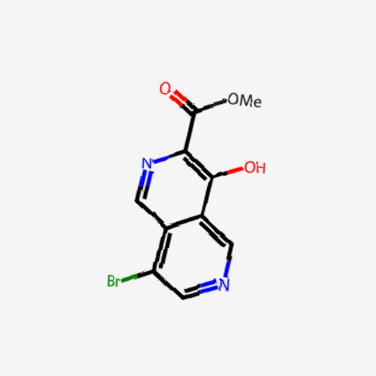 COC(=O)c1ncc2c(Br)cncc2c1O